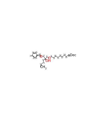 C=CCCC(O)(COCCCCCCCCCCCCCCCCCC)COCc1ccccc1